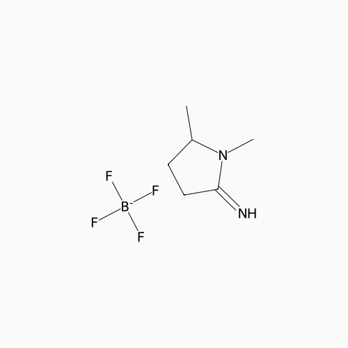 CC1CCC(=N)N1C.F[B-](F)(F)F